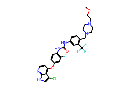 COCCN1CCN(Cc2ccc(NC(=O)Nc3ccc(Oc4ccnc5[nH]cc(Cl)c45)cc3F)cc2C(F)(F)F)CC1